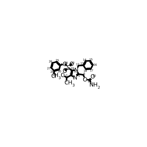 CC(C)c1nc(COC(N)=O)n(Cc2ccccc2)c1S(=O)(=O)Oc1cccc(Cl)c1